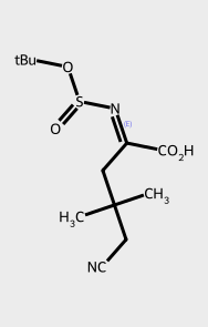 CC(C)(CC#N)C/C(=N\S(=O)OC(C)(C)C)C(=O)O